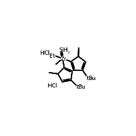 C[CH2][Zr]([CH3])(=[SiH2])([C]1=CC(C(C)(C)C)=CC1C)[C]1=CC(C(C)(C)C)=CC1C.Cl.Cl